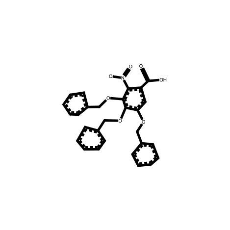 O=C(O)c1cc(OCc2ccccc2)c(OCc2ccccc2)c(OCc2ccccc2)c1[N+](=O)[O-]